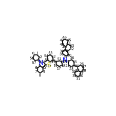 c1ccc(-n2c3ccccc3c3sc4c(-c5cccc(N(c6ccc(-c7cccc8ccccc78)cc6)c6ccc7c(ccc8ccccc87)c6)c5)cccc4c32)cc1